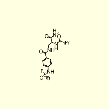 CC(C)C(=O)N[C@@H](CNC(=O)c1ccc(NS(=O)(=O)F)cc1)C(N)=O